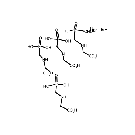 Br.Br.O.O=C(O)CNCP(=O)(O)O.O=C(O)CNCP(=O)(O)O.O=C(O)CNCP(=O)(O)O.O=C(O)CNCP(=O)(O)O